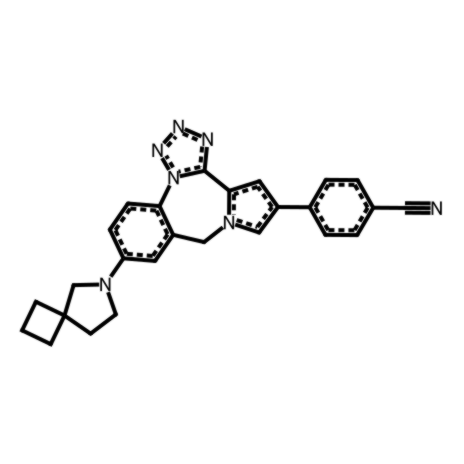 N#Cc1ccc(-c2cc3n(c2)Cc2cc(N4CCC5(CCC5)C4)ccc2-n2nnnc2-3)cc1